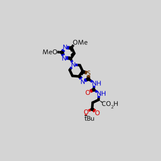 COc1cc(N2CCc3nc(NC(=O)N[C@@H](CC(=O)OC(C)(C)C)C(=O)O)sc3C2)nc(OC)n1